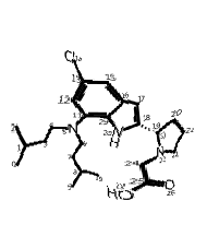 CC(C)CCN(CCC(C)C)c1cc(Cl)cc2cc([C@@H]3CCCN3CC(=O)O)[nH]c12